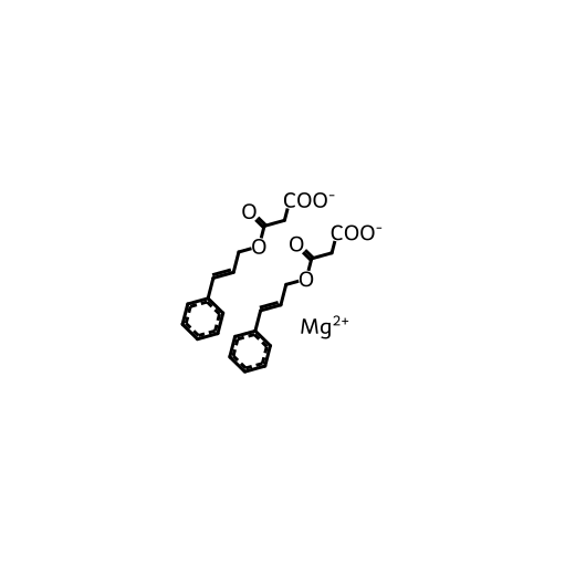 O=C([O-])CC(=O)OCC=Cc1ccccc1.O=C([O-])CC(=O)OCC=Cc1ccccc1.[Mg+2]